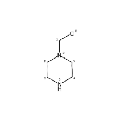 ClCN1CCNCC1